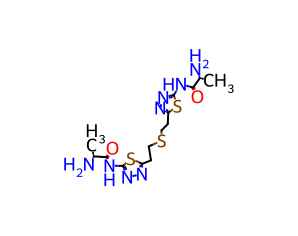 C[C@H](N)C(=O)Nc1nnc(CCSCCc2nnc(NC(=O)[C@H](C)N)s2)s1